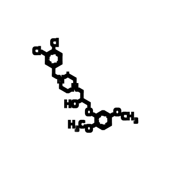 COc1ccc(OC)c(OCC(O)CN2C[CH]N(Cc3ccc(Cl)c(Cl)c3)CC2)c1